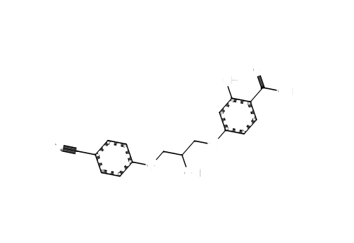 CC(=O)c1ccc(OCC(O)COc2ccc(C#N)cc2)cc1O